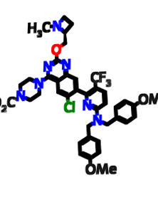 COc1ccc(CN(Cc2ccc(OC)cc2)c2ccc(C(F)(F)F)c(-c3cc4nc(OC[C@@H]5CCN5C)nc(N5CCN(C(=O)O)CC5)c4cc3Cl)n2)cc1